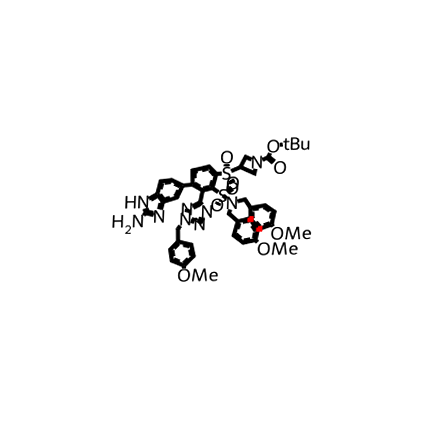 COc1ccc(CN(Cc2ccc(OC)cc2)S(=O)(=O)c2c(S(=O)(=O)C3CN(C(=O)OC(C)(C)C)C3)ccc(-c3ccc4[nH]c(N)nc4c3)c2-c2nnn(Cc3ccc(OC)cc3)n2)cc1